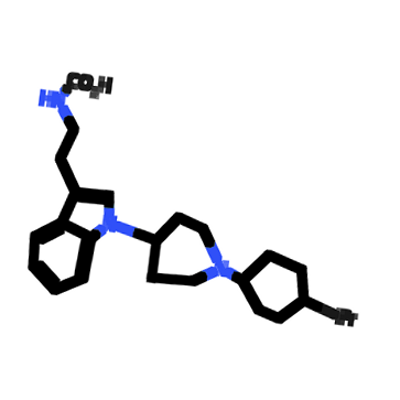 CC(C)C1CCC(N2CCC(n3cc(CCNC(=O)O)c4ccccc43)CC2)CC1